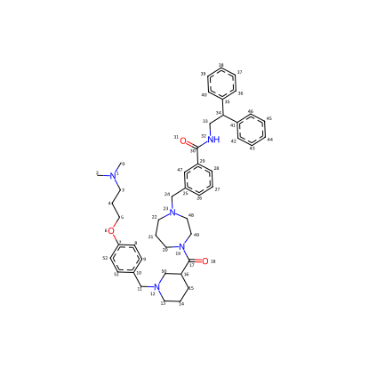 CN(C)CCCOc1ccc(CN2CCCC(C(=O)N3CCCN(Cc4cccc(C(=O)NCC(c5ccccc5)c5ccccc5)c4)CC3)C2)cc1